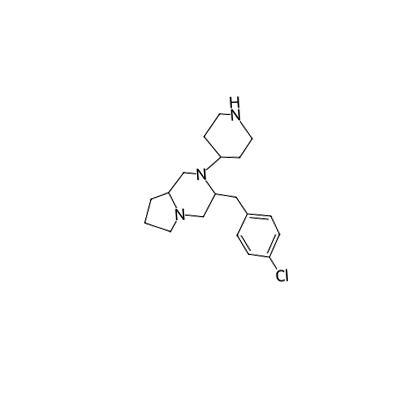 Clc1ccc(CC2CN3CCCC3CN2C2CCNCC2)cc1